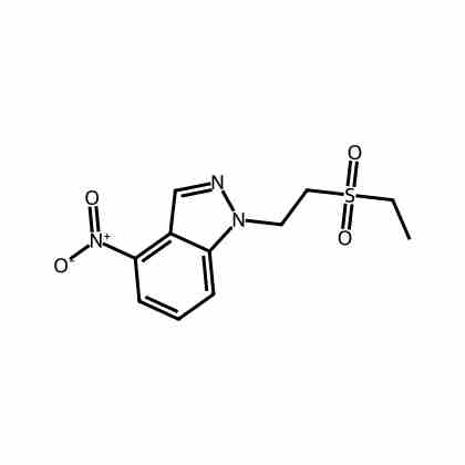 CCS(=O)(=O)CCn1ncc2c([N+](=O)[O-])cccc21